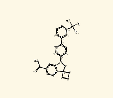 CNC(=O)c1ccc2c(c1)N(c1ncc(-c3cc(C(C)(C)O)ccn3)cn1)CC21COC1